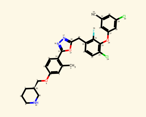 Cc1cc(OC[C@@H]2CCCNC2)ccc1-c1nnc(Cc2ccc(Cl)c(Oc3cc(Cl)cc(C#N)c3)c2F)o1